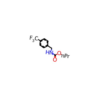 CCCOC(=O)NCc1ccc(C(F)(F)F)cc1